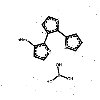 CCCCCCc1ccsc1-c1ccsc1-c1cccs1.OB(O)O